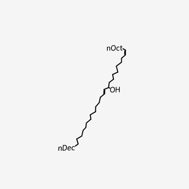 CCCCCCCC/C=C\CCCCCCCC(O)C=CCCCCCCCCCCCCCCCCCCCCCC